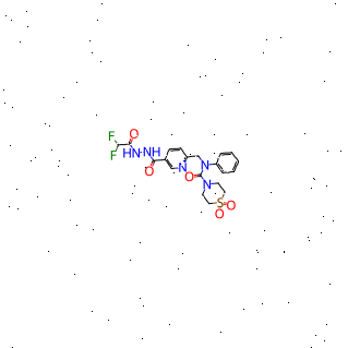 O=C(NNC(=O)C(F)F)c1ccc(CN(C(=O)N2CCS(=O)(=O)CC2)c2ccccc2)nc1